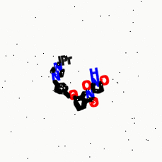 CC(C)N1CCN(Cc2ccc(COc3cccc4c3CN(C3CCC(=O)NC3=O)C4=O)cc2)CC1